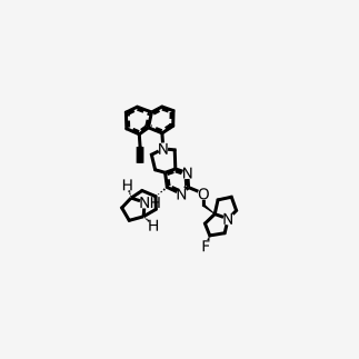 C#Cc1cccc2cccc(N3CCc4c(nc(OC[C@@]56CCCN5C[C@H](F)C6)nc4[C@@H]4C[C@H]5CC[C@@H](C4)N5)C3)c12